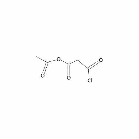 CC(=O)OC(=O)CC(=O)Cl